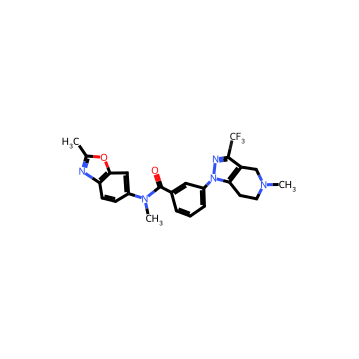 Cc1nc2ccc(N(C)C(=O)c3cccc(-n4nc(C(F)(F)F)c5c4CCN(C)C5)c3)cc2o1